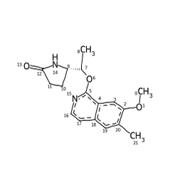 COc1cc2c(OC(C)[C@@H]3CCC(=O)N3)nccc2cc1C